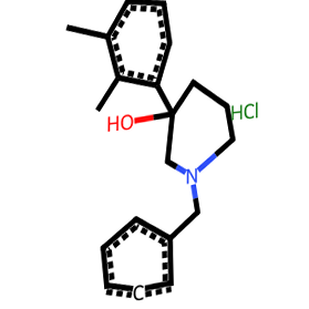 Cc1cccc(C2(O)CCCN(Cc3ccccc3)C2)c1C.Cl